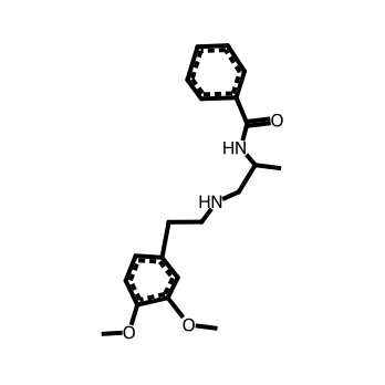 COc1ccc(CCNCC(C)NC(=O)c2ccccc2)cc1OC